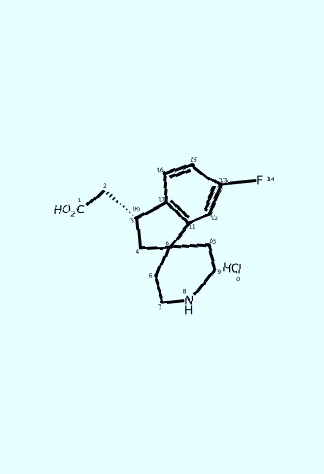 Cl.O=C(O)C[C@H]1CC2(CCNCC2)c2cc(F)ccc21